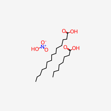 CCCCCCCC(=O)O.CCCCCCCCCCCCCC(=O)O.O=[N+]([O-])O